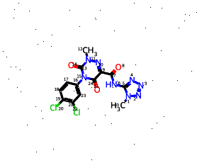 Cn1nnnc1NC(=O)c1nn(C)c(=O)n(-c2ccc(Cl)c(Cl)c2)c1=O